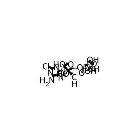 C#C[C@@]1(O)[C@@H](COP(=O)(O)CP(=O)(O)O)OC[C@@]1(O)n1cnc2c(N)nc(Cl)nc21